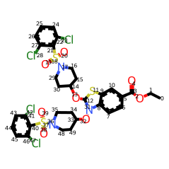 CCOC(=O)c1ccc2c(c1)SC(OC1CCN(S(=O)(=O)c3c(Cl)cccc3Cl)CC1)N2OC1CCN(S(=O)(=O)c2c(Cl)cccc2Cl)CC1